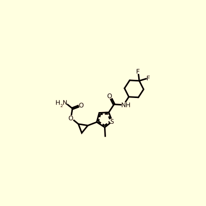 Cc1sc(C(=O)NC2CCC(F)(F)CC2)cc1C1CC1OC(N)=O